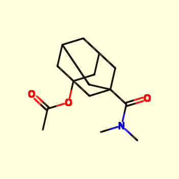 CC(=O)OC12CC3CC(C1)CC(C(=O)N(C)C)(C3)C2